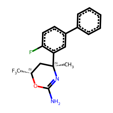 C[C@@]1(c2cc(-c3ccccc3)ccc2F)C[C@@H](C(F)(F)F)OC(N)=N1